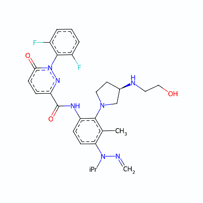 C=NN(c1ccc(NC(=O)c2ccc(=O)n(-c3c(F)cccc3F)n2)c(N2CC[C@@H](NCCO)C2)c1C)C(C)C